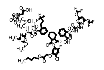 CCCCCOC(=O)COc1cc(N2C(=O)C3=C(CCCC3)C2=O)c(F)cc1Cl.COc1nc(C)nc(NC(=O)NS(=O)(=O)c2ccccc2CCC(F)(F)F)n1.C[S+](C)C.O=C(Nc1nc(OC(F)F)cc(OC(F)F)n1)NS(=O)(=O)c1ccccc1C(=O)O.O=C(O)CNCP(=O)([O-])O